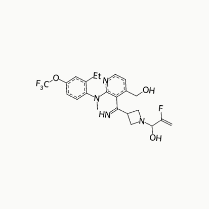 C=C(F)C(O)N1CC(C(=N)c2c(CO)ccnc2N(C)c2ccc(OC(F)(F)F)cc2CC)C1